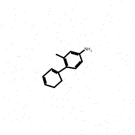 Cc1cc(N)ccc1C1=CC=CCC1